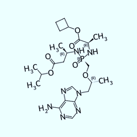 CC(C)OC(=O)C[C@@H](C)N[P@](=O)(CO[C@H](C)Cn1cnc2c(N)ncnc21)N[C@H](C)C(=O)OC1CCC1